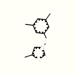 Cc1cc(C)cc(On2cnc(C)c2)c1